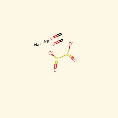 C=O.C=O.O=S([O-])S(=O)[O-].[Na+].[Na+]